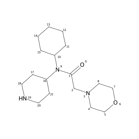 O=C(CN1CCOCC1)N(C1CCCCC1)C1CCNCC1